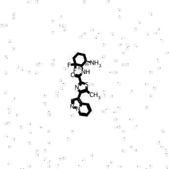 Cc1sc(C(=O)N[C@@H]2[C@H](N)CCCC2(F)F)nc1-c1cnn2ccccc12